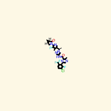 Cc1ncc(-c2c(C(F)F)ccc(Cl)c2F)nc1C(=O)Nc1cnn([C@H](C)c2cnc(N3C[C@H]4C[C@H]4C3=O)c(F)c2C)c1